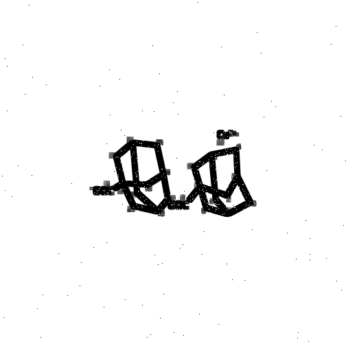 O=C([O-])C12CC3CC(CC(C3)C1)C2.O=C([O-])C12CC3CC(CC(C3)C1)C2.[Cu+2]